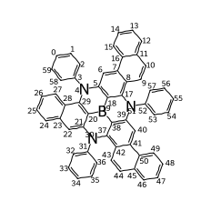 c1ccc(N2c3cc4c(ccc5ccccc54)c4c3B3c5c(cc6ccccc6c52)N(c2ccccc2)c2c3c(cc3c2ccc2ccccc23)N4c2ccccc2)cc1